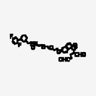 O=CCCC(C=O)c1coc2ccc3cc(OCCOCCOCCNC(=O)CCC4CCCC(c5cc(F)ccc5F)C4)ccc3c12